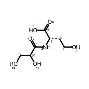 O=C(N[C@@H](CCO)C(=O)O)C(O)CO